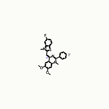 COc1cc2c(cc1OC)N(C)C(c1ccccc1)=N/C2=C\c1sc2ccc(F)cc2[n+]1C.[I-]